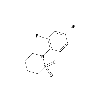 CC(C)c1ccc(N2CCCCS2(=O)=O)c(F)c1